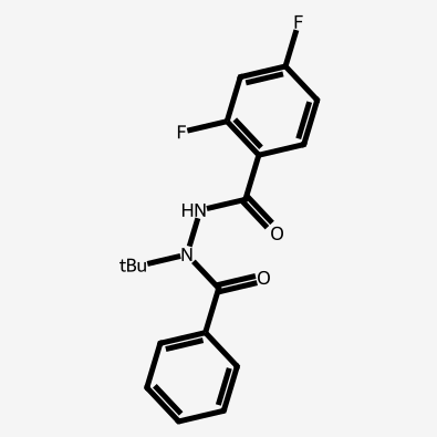 CC(C)(C)N(NC(=O)c1ccc(F)cc1F)C(=O)c1ccccc1